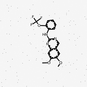 COc1cc2cnc(Nc3ccccc3OC(F)(F)F)nc2cc1OC